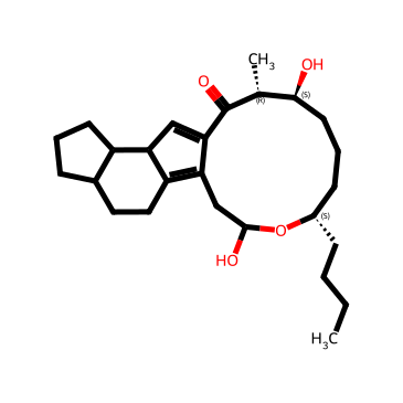 CCCC[C@H]1CCC[C@H](O)[C@@H](C)C(=O)C2=CC3C(=C2CC(O)O1)CCC1CCCC13